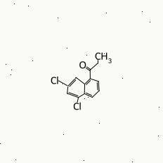 CCC(=O)c1cccc2c(Cl)cc(Cl)cc12